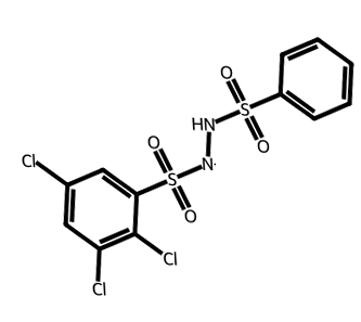 O=S(=O)([N]NS(=O)(=O)c1ccccc1)c1cc(Cl)cc(Cl)c1Cl